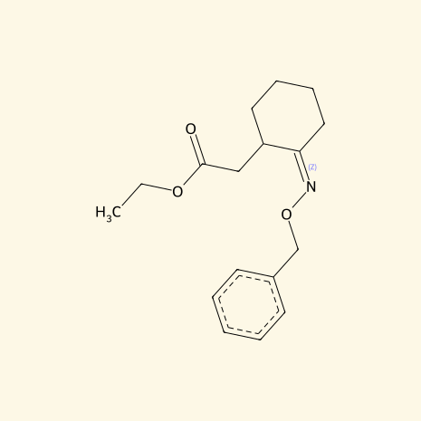 CCOC(=O)CC1CCCC/C1=N/OCc1ccccc1